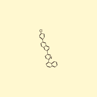 Clc1ccc(-c2ccc3cc(-c4ccc(-c5cccc6ccccc56)nc4)ccc3c2)cc1